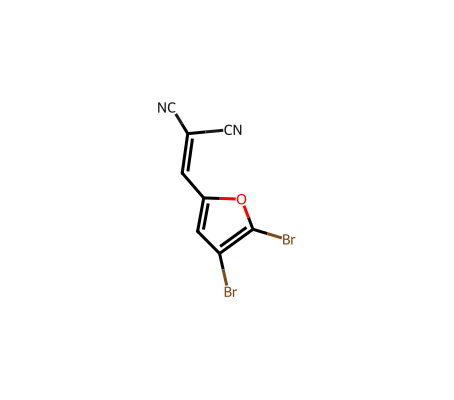 N#CC(C#N)=Cc1cc(Br)c(Br)o1